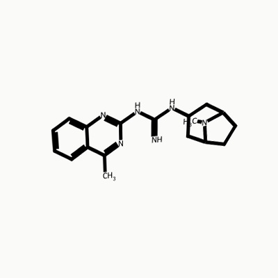 Cc1nc(NC(=N)NC2CC3CCC(C2)N3C)nc2ccccc12